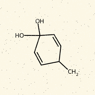 [CH2]C1C=CC(O)(O)C=C1